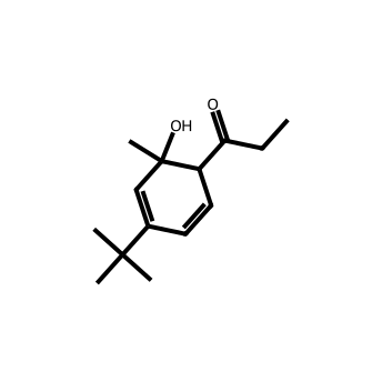 CCC(=O)C1C=CC(C(C)(C)C)=CC1(C)O